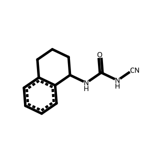 N#CNC(=O)NC1CCCc2ccccc21